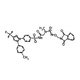 Cc1ccc(-c2cc(C(F)(F)F)nn2-c2ccc(S(=O)(=O)NC(=O)CN(C)[N+]([O-])=NOCN3C(=O)c4ccccc4C3=O)cc2)cc1